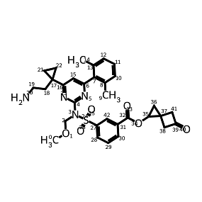 COCN(c1nc(-c2c(C)cccc2C)cc(C2(CCN)CC2)n1)S(=O)(=O)c1cccc(C(=O)OC2CC23CC(=O)C3)c1